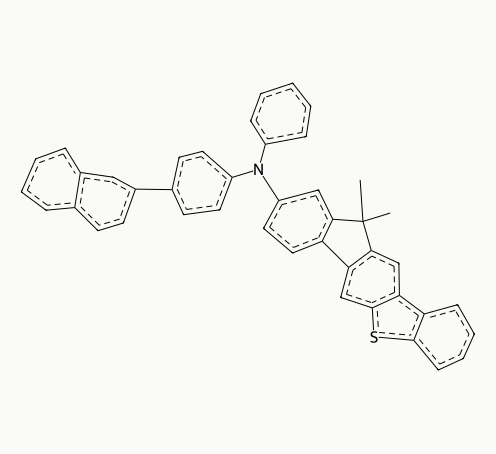 CC1(C)c2cc(N(c3ccccc3)c3ccc(-c4ccc5ccccc5c4)cc3)ccc2-c2cc3sc4ccccc4c3cc21